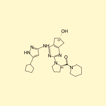 O=C([C@H]1CCCN1c1nc2c(c(Nc3cc(C4CCCC4)[nH]n3)n1)C[C@H](O)C2)N1CCCCC1